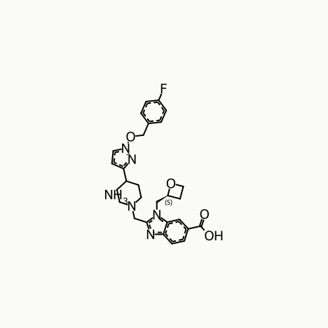 N.O=C(O)c1ccc2nc(CN3CCC(c4ccn(OCc5ccc(F)cc5)n4)CC3)n(C[C@@H]3CCO3)c2c1